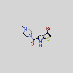 CN1CCN(C(=O)c2cc3c(Br)csc3[nH]2)CC1